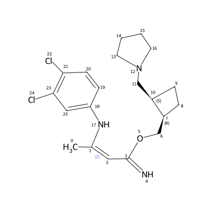 C/C(=C/C(=N)OC[C@@H]1CC[C@@H]1CN1CCCC1)Nc1ccc(Cl)c(Cl)c1